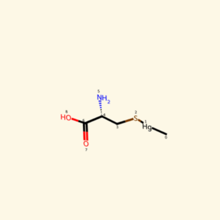 [CH3][Hg][S]C[C@@H](N)C(=O)O